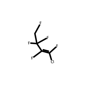 FCC(F)(F)/C(F)=C(\F)Cl